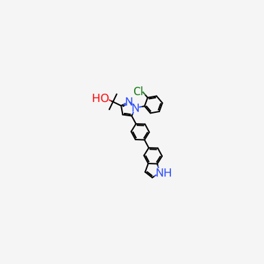 CC(C)(O)c1cc(-c2ccc(-c3ccc4[nH]ccc4c3)cc2)n(-c2ccccc2Cl)n1